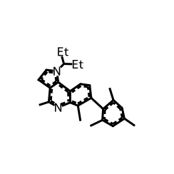 CCC(CC)n1ccc2c(C)nc3c(C)c(-c4c(C)cc(C)cc4C)ccc3c21